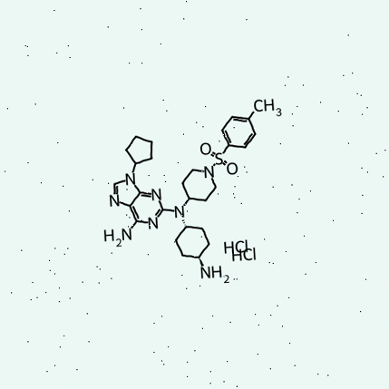 Cc1ccc(S(=O)(=O)N2CCC(N(c3nc(N)c4ncn(C5CCCC5)c4n3)[C@H]3CC[C@H](N)CC3)CC2)cc1.Cl.Cl